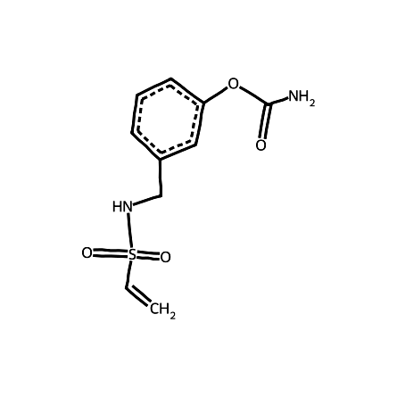 C=CS(=O)(=O)NCc1cccc(OC(N)=O)c1